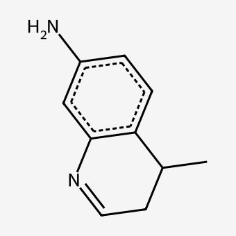 CC1CC=Nc2cc(N)ccc21